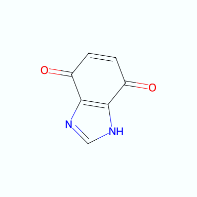 O=C1C=CC(=O)c2[nH]cnc21